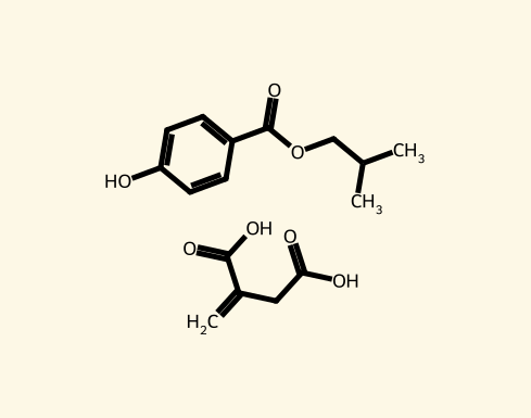 C=C(CC(=O)O)C(=O)O.CC(C)COC(=O)c1ccc(O)cc1